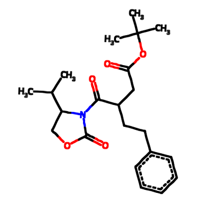 CC(C)C1COC(=O)N1C(=O)C(CCc1ccccc1)CC(=O)OC(C)(C)C